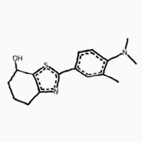 Cc1cc(-c2nc3c(s2)C(O)CCC3)ccc1N(C)C